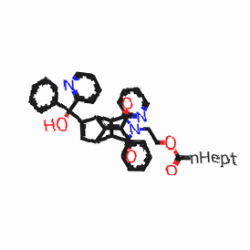 CCCCCCCC(=O)OCCN1C(=O)C2C3C=C(C(O)(c4ccccc4)c4ccccn4)C(C3=C(c3ccccc3)c3ccccn3)C2C1=O